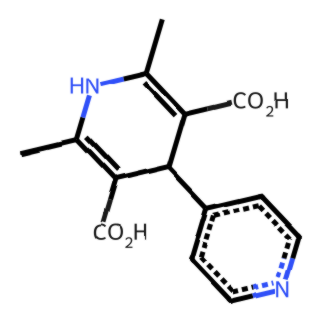 CC1=C(C(=O)O)C(c2ccncc2)C(C(=O)O)=C(C)N1